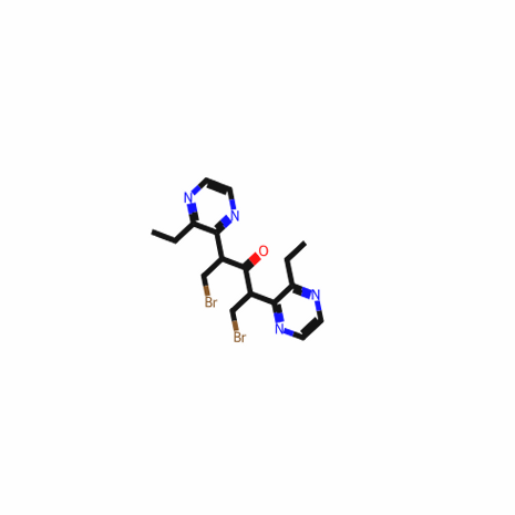 CCc1nccnc1C(CBr)C(=O)C(CBr)c1nccnc1CC